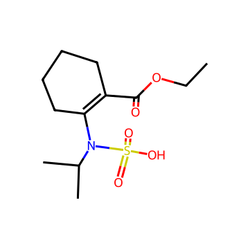 CCOC(=O)C1=C(N(C(C)C)S(=O)(=O)O)CCCC1